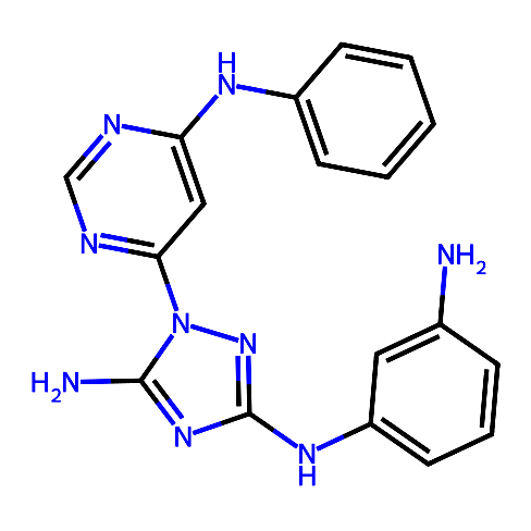 Nc1cccc(Nc2nc(N)n(-c3cc(Nc4ccccc4)ncn3)n2)c1